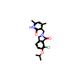 Cc1cc(C)c(CN2Cc3ccc(OC(C)C)c(Cl)c3C2=O)c(=O)[nH]1